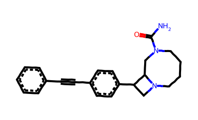 NC(=O)N1CCCCN2CC(c3ccc(C#Cc4ccccc4)cc3)C2C1